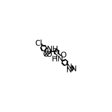 COc1ccc(Cl)cc1NC(=O)c1ccc(C(=O)Nc2ccc(-n3cncn3)cc2)s1